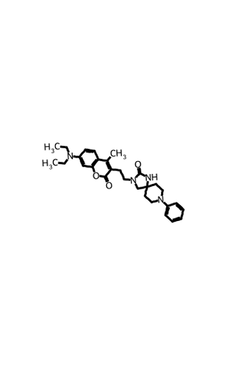 CCN(CC)c1ccc2c(C)c(CCN3CC4(CCN(c5ccccc5)CC4)NC3=O)c(=O)oc2c1